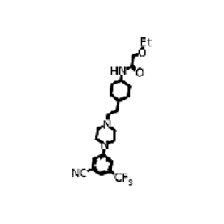 CCOCC(=O)NC1CCC(CCN2CCN(c3cc(C#N)cc(C(F)(F)F)c3)CC2)CC1